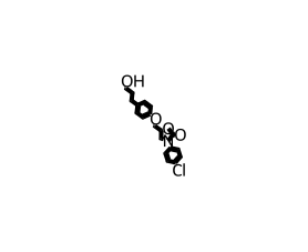 O=C1OC(COc2ccc(CCCO)cc2)CN1c1ccc(Cl)cc1